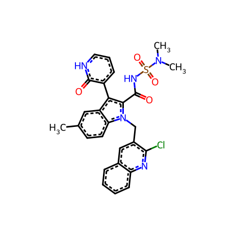 Cc1ccc2c(c1)c(-c1ccc[nH]c1=O)c(C(=O)NS(=O)(=O)N(C)C)n2Cc1cc2ccccc2nc1Cl